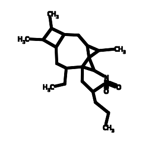 CCCC(CC12C(CC)CC3C(C)C(C)C3CC3C(C)C31C2N=O)N=O